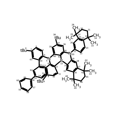 CC(C)(C)c1ccc(N2c3cc(C(C)(C)C)ccc3B3c4cc5c(cc4N(c4ccc6c(c4)C(C)(C)CCC6(C)C)c4cc(C(C)(C)C)cc2c43)C(C)(C)CCC5(C)C)c(-c2cccc(-c3ccccc3)c2)c1